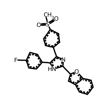 CS(=O)(=O)c1ccc(-c2nc(-c3cc4ccccc4o3)[nH]c2-c2ccc(F)cc2)cc1